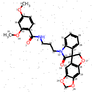 COc1ccc(C(=O)NCCCN2C(=O)C3(COc4cc5c(cc43)OCO5)c3ccccc32)c(OC)c1